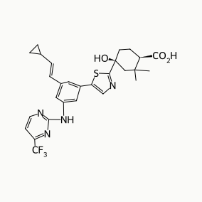 CC1(C)C[C@](O)(c2ncc(-c3cc(C=CC4CC4)cc(Nc4nccc(C(F)(F)F)n4)c3)s2)CC[C@H]1C(=O)O